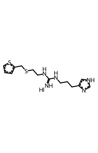 I.N=C(NCCCc1c[nH]cn1)NCCSCc1cccs1